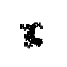 COCC(COC)OC(=O)C1=Cc2cc(S(F)(F)(F)(F)F)cc(C)c2O[C@@H]1C(F)(F)F